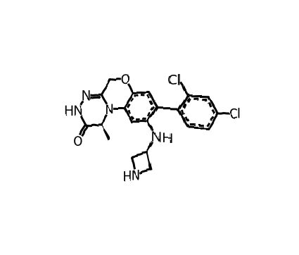 C[C@H]1C(=O)NN=C2COc3cc(-c4ccc(Cl)cc4Cl)c(NC4CNC4)cc3N21